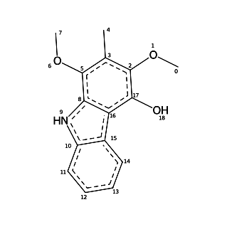 COc1c(C)c(OC)c2[nH]c3ccccc3c2c1O